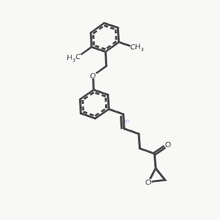 Cc1cccc(C)c1COc1cccc(/C=C/CCC(=O)C2CO2)c1